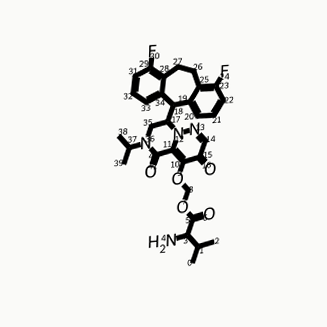 CC(C)C(N)C(=O)OCOc1c2n(ncc1=O)C(C1c3cccc(F)c3CCc3c(F)cccc31)CN(C(C)C)C2=O